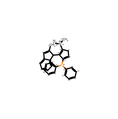 CC1=Cc2ccccc2C1C1=C([SiH](C)C)CC=C1P(c1ccccc1)c1ccccc1